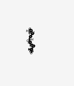 CC(C)c1cc(-c2cccc3cc(-c4ccc(C(=O)NCc5ccc(-c6ccnc(C7CCC(=O)NC7=O)c6F)cc5)nc4)ncc23)cc2c1n(C)c(=O)n2C